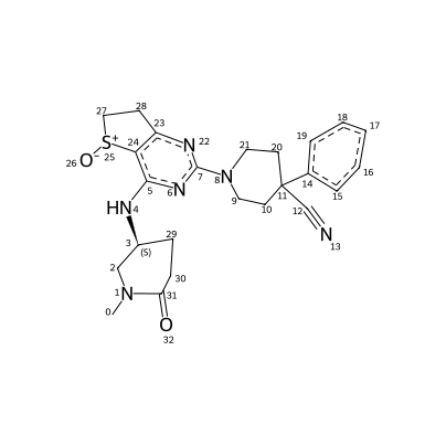 CN1C[C@@H](Nc2nc(N3CCC(C#N)(c4ccccc4)CC3)nc3c2[S+]([O-])CC3)CCC1=O